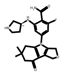 CC1(C)CC(=O)c2c3c(n(-c4cc(F)c(C(N)=O)c(N[C@H]5CCNC5)c4)c2C1)COC3